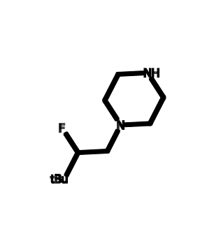 CC(C)(C)C(F)CN1CCNCC1